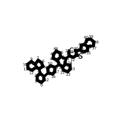 c1ccc(-c2cccc3ccccc23)c(-c2ccc(-c3c4ccccc4c(-c4ccc5c(c4)sc4cc6ccccc6cc45)c4ccccc34)cc2)c1